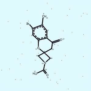 Cc1cc2c(cc1Br)OC1(CC2=O)CN(C(=O)O)C1